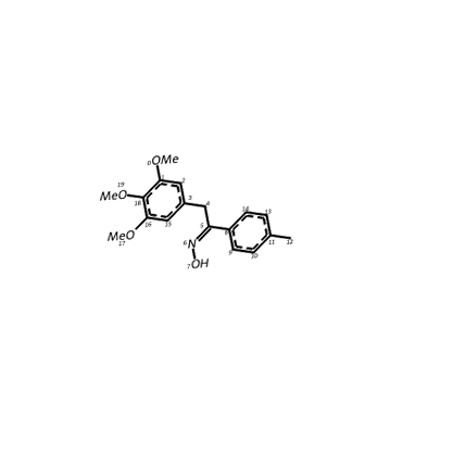 COc1cc(CC(=NO)c2ccc(C)cc2)cc(OC)c1OC